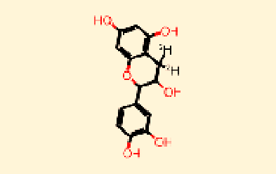 [2H]C1([2H])c2c(O)cc(O)cc2OC(c2ccc(O)c(O)c2)[C@@H]1O